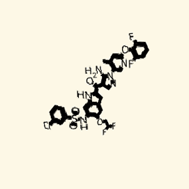 Cc1cc(Oc2c(F)cccc2F)ncc1-n1ncc(C(=O)c2cc3cc(OCC(F)F)c(NS(=O)(=O)c4cccc(Cl)c4)cc3[nH]2)c1N